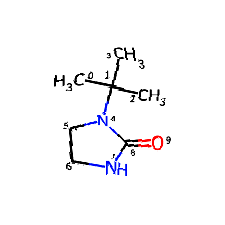 CC(C)(C)N1[CH]CNC1=O